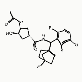 CC(=O)N[C@H]1C[C@H](C(=O)NC(c2c(F)ccc(Cl)c2F)C23CCC(F)(CC2)C3)C[C@H]1O